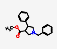 COC(=O)C1CN(Cc2ccccc2)CC1c1ccccc1